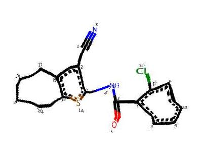 N#Cc1c(NC(=O)c2ccccc2Cl)sc2c1CCCC2